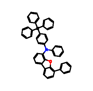 c1ccc(-c2cccc3c2oc2c(N(c4ccccc4)c4ccc([Si](c5ccccc5)(c5ccccc5)c5ccccc5)cc4)cccc23)cc1